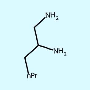 [CH2]CCCC(N)CN